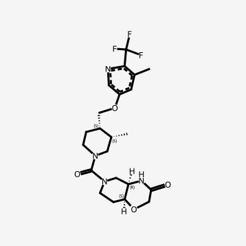 Cc1cc(OC[C@H]2CCN(C(=O)N3CC[C@@H]4OCC(=O)N[C@@H]4C3)C[C@H]2C)cnc1C(F)(F)F